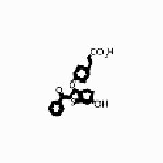 O=C(O)C=Cc1ccc(Oc2c(C(=O)c3ccccc3)sc3cc(O)ccc23)cc1